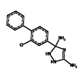 NC1=NC(N)(c2ccc(-c3ccccc3)c(Cl)c2)NN1